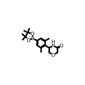 Cc1cc(B2OC(C)(C)C(C)(C)O2)cc(C)c1C1COCC(=O)N1